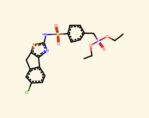 CCOP(=O)(Cc1ccc(S(=O)(=O)Nc2nc3c(s2)Cc2cc(Cl)ccc2-3)cc1)OCC